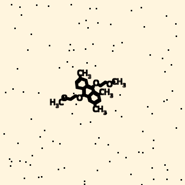 COCCOc1c2c(c(OCCOC)c3c(C)cc(C)cc13)CC(C)=CC2